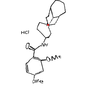 COc1ccc(C(=O)NC2CCN(C3C4CCCC3CCC4)C2)c(OC)c1.Cl